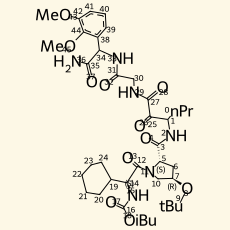 CCCC(NC(=O)[C@@H]1C[C@@H](OC(C)(C)C)CN1C(=O)[C@@H](NC(=O)OCC(C)C)C1CCCCC1)C(=O)C(=O)NCC(=O)NC(C(N)=O)c1cccc(OC)c1OC